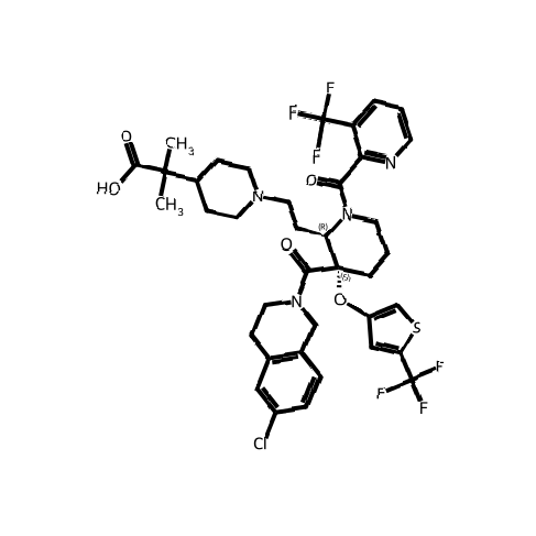 CC(C)(C(=O)O)C1CCN(CC[C@H]2N(C(=O)c3ncccc3C(F)(F)F)CCC[C@@]2(Oc2csc(C(F)(F)F)c2)C(=O)N2CCc3cc(Cl)ccc3C2)CC1